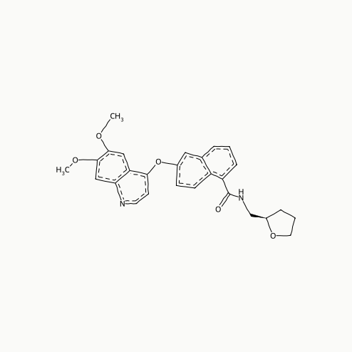 COc1cc2nccc(Oc3ccc4c(C(=O)NC[C@H]5CCCO5)cccc4c3)c2cc1OC